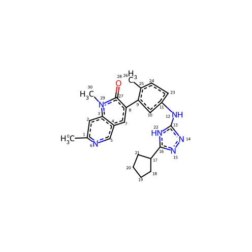 Cc1cc2c(cn1)cc(-c1cc(Nc3nnc(C4CCCC4)[nH]3)ccc1C)c(=O)n2C